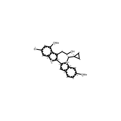 CCc1cc(OC)c2c(CCO)c(-c3cc4ccc(OC)cc4n3CC3CC3)oc2c1